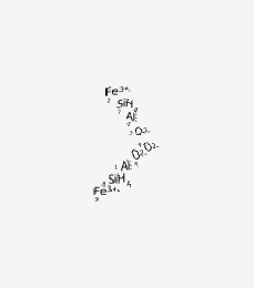 [Al].[Al].[Fe+3].[Fe+3].[O-2].[O-2].[O-2].[SiH4].[SiH4]